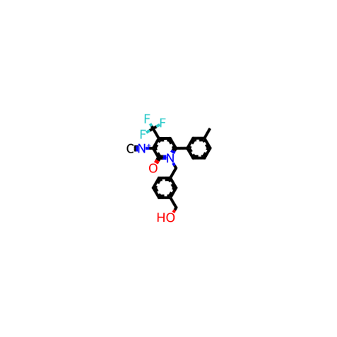 [C-]#[N+]c1c(C(F)(F)F)cc(-c2cccc(C)c2)n(Cc2cccc(CO)c2)c1=O